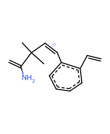 C=Cc1ccccc1/C=C\C(C)(C)C(=C)N